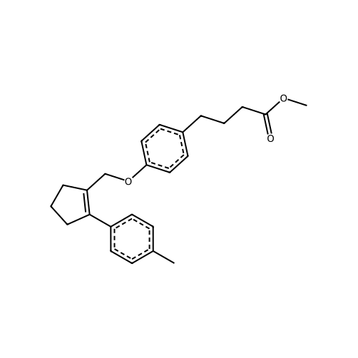 COC(=O)CCCc1ccc(OCC2=C(c3ccc(C)cc3)CCC2)cc1